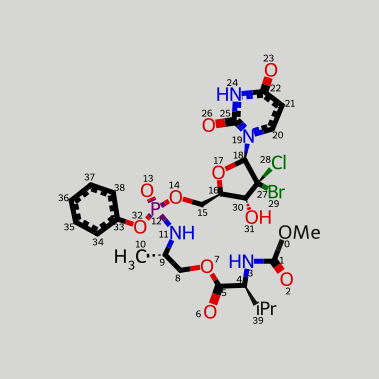 COC(=O)N[C@H](C(=O)OC[C@H](C)NP(=O)(OC[C@H]1O[C@@H](n2ccc(=O)[nH]c2=O)[C@](Cl)(Br)[C@@H]1O)Oc1ccccc1)C(C)C